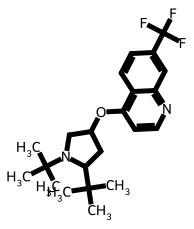 CC(C)(C)C1CC(Oc2ccnc3cc(C(F)(F)F)ccc23)CN1C(C)(C)C